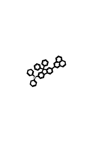 C1=CCCC(N(C2=CCCC=C2)c2ccc3c(c2)C(c2ccccc2)(c2ccccc2)c2cc(-c4cc5c6c(cccc6c4)CC=C5)ccc2-3)=C1